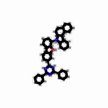 c1ccc(-c2nc(-c3ccccc3)nc(-c3ccc4c(c3)oc3c(-n5c6ccccc6c6c7ccccc7ccc65)cccc34)n2)cc1